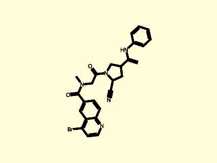 C=C(Nc1ccccc1)C1CC(C#N)N(C(=O)CN(C)C(=O)c2ccc3nccc(Br)c3c2)C1